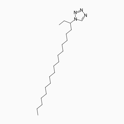 CCCCCCCCCCCCCCCCCC(CC)n1cnnn1